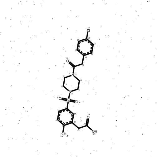 Cc1ccc(S(=O)(=O)N2CCN(C(=O)Cc3ccc(Cl)cc3)CC2)cc1CC(=O)O